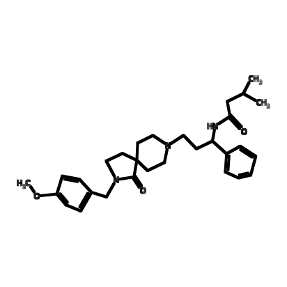 COc1ccc(CN2CCC3(CCN(CCC(NC(=O)CC(C)C)c4ccccc4)CC3)C2=O)cc1